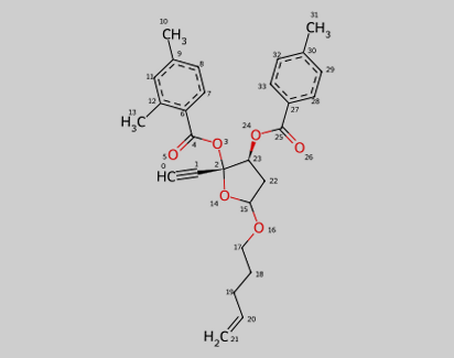 C#C[C@]1(OC(=O)c2ccc(C)cc2C)OC(OCCCC=C)C[C@@H]1OC(=O)c1ccc(C)cc1